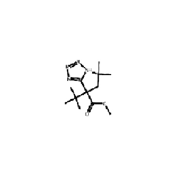 COC(=O)C(CC(C)(C)C)(c1nnn[nH]1)C(C)(C)C